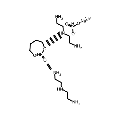 C=C.C=C.C=C.C=C.C=C.NCCNCCN.NCCNCCN.O=[PH]([O-])[O-].O=[PH]1OCCCCO1.[Na+].[Na+]